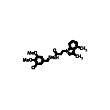 COc1cc(/C=N/NC(=O)CCn2cc(C)c3c(C)cccc32)cc(Cl)c1OC